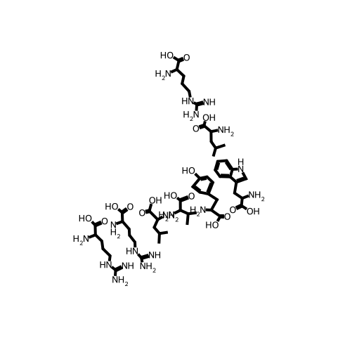 CC(C)C(N)C(=O)O.CC(C)CC(N)C(=O)O.CC(C)CC(N)C(=O)O.N=C(N)NCCCC(N)C(=O)O.N=C(N)NCCCC(N)C(=O)O.N=C(N)NCCCC(N)C(=O)O.NC(Cc1c[nH]c2ccccc12)C(=O)O.NC(Cc1ccc(O)cc1)C(=O)O